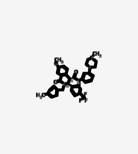 COc1ccc2c(c1)C(=O)N(Cc1ccc(C)cc1)[C@H](c1ccc(C(F)(F)F)cc1)[C@H]2C(=O)Nc1cccc(N2CCN(C)CC2)c1